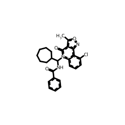 Cc1onc2c1c(=O)n(C(NC(=O)c1ccccc1)C1CCCCCC1)c1cccc(Cl)c21